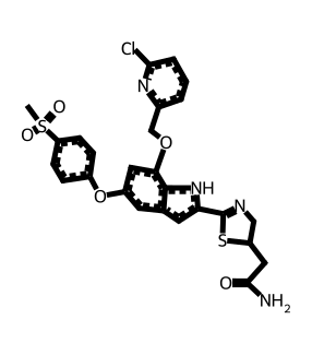 CS(=O)(=O)c1ccc(Oc2cc(OCc3cccc(Cl)n3)c3[nH]c(C4=NCC(CC(N)=O)S4)cc3c2)cc1